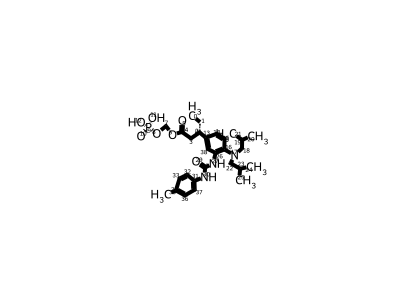 CC[C@@H](CC(=O)OCOP(=O)(O)O)c1ccc(N(CC(C)C)CC(C)C)c(NC(=O)Nc2ccc(C)cc2)c1